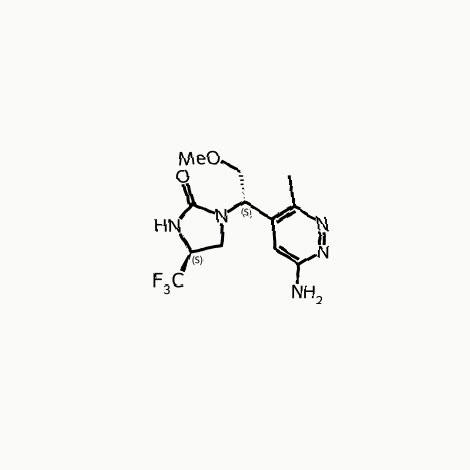 COC[C@H](c1cc(N)nnc1C)N1C[C@@H](C(F)(F)F)NC1=O